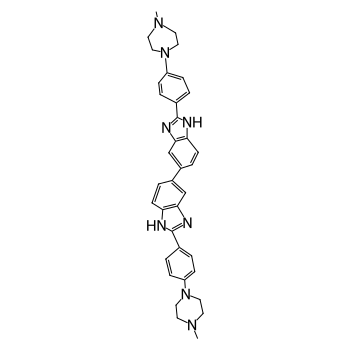 CN1CCN(c2ccc(-c3nc4cc(-c5ccc6[nH]c(-c7ccc(N8CCN(C)CC8)cc7)nc6c5)ccc4[nH]3)cc2)CC1